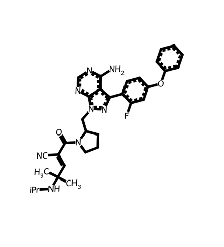 CC(C)NC(C)(C)C=C(C#N)C(=O)N1CCCC1Cn1nc(-c2ccc(Oc3ccccc3)cc2F)c2c(N)ncnc21